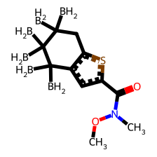 BC1(B)Cc2sc(C(=O)N(C)OC)cc2C(B)(B)C1(B)B